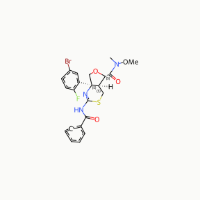 CON(C)C(=O)[C@H]1OC[C@]2(c3cc(Br)ccc3F)N=C(NC(=O)c3ccccc3)SC[C@H]12